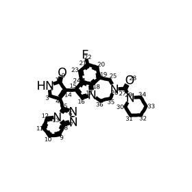 O=C1NCC(c2nnc3ccccn23)=C1c1cn2c3c(cc(F)cc13)CN(C(=O)N1CCCCC1)CC2